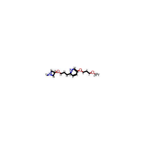 CC(C)OCCCOc1ccc(CCCOC2CN(C)C2)nc1